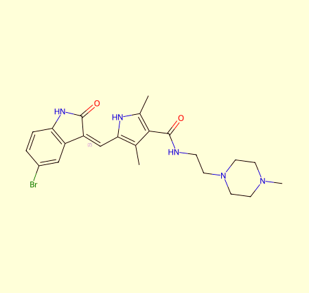 Cc1[nH]c(/C=C2\C(=O)Nc3ccc(Br)cc32)c(C)c1C(=O)NCCN1CCN(C)CC1